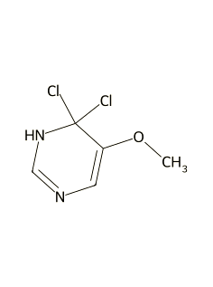 COC1=CN=CNC1(Cl)Cl